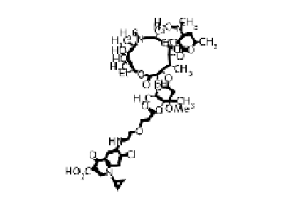 CC[C@H]1OC(=O)[C@H](C)[C@@H](O[C@H]2C[C@@](C)(OC)[C@@H](OC(=O)CCOCCNc3cc4c(=O)c(C(=O)O)cn(C5CC5)c4cc3Cl)[C@H](C)O2)[C@@H](C)[C@@H](O[C@@H]2O[C@H](C)C[C@H](N(C)C)[C@H]2O)[C@](C)(O)C[C@@H](C)CN(C)[C@H](C)[C@@H](O)[C@]1(C)O